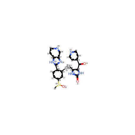 CCc1[nH]c(=O)[nH]c1C(=O)c1ccncc1.COc1cc([S+](C)[O-])ccc1-c1nc2cnccc2[nH]1